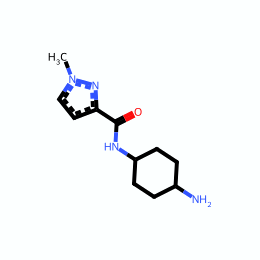 Cn1ccc(C(=O)NC2CCC(N)CC2)n1